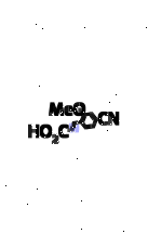 COc1cc(C#N)ccc1/C=C/C(=O)O